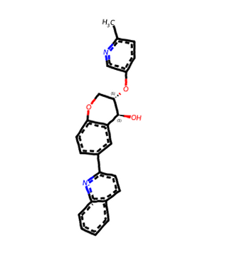 Cc1ccc(O[C@H]2COc3ccc(-c4ccc5ccccc5n4)cc3[C@@H]2O)cn1